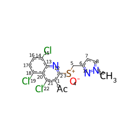 CC(=O)c1c([S+]([O-])Cc2ccn(C)n2)nc2c(Cl)ccc(Cl)c2c1Cl